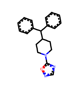 c1ccc(C(c2ccccc2)C2CCN(c3ncno3)CC2)cc1